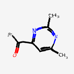 Cc1cc(C(=O)C(C)C)nc(C)n1